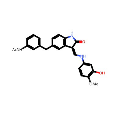 COc1ccc(NC=C2C(=O)Nc3ccc(Cc4cccc(NC(C)=O)c4)cc32)cc1O